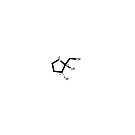 OC[C@@]1(O)NCC[C@H]1O